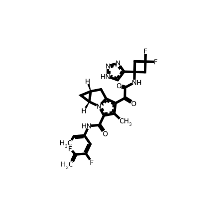 C=C(F)/C(F)=C\C(=C/C)NC(=O)c1c(C)c(C(=O)C(=O)NC2(c3c[nH]nn3)CC(F)(F)C2)c2n1[C@@H]1C[C@@H]1C2